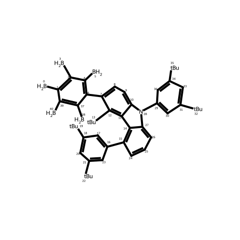 Bc1c(B)c(B)c(-c2ccc3c(c2C(C)(C)C)c2c(-c4cc(C(C)(C)C)cc(C(C)(C)C)c4)cccc2n3-c2cc(C(C)(C)C)cc(C(C)(C)C)c2)c(B)c1B